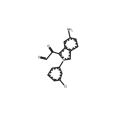 Nc1ccc2cn(-c3cccc(Cl)c3)c(C(=O)C=O)c2c1